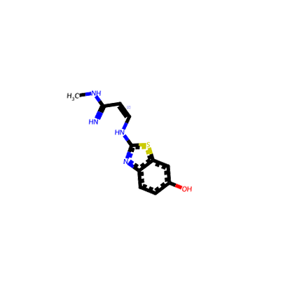 CNC(=N)/C=C\Nc1nc2ccc(O)cc2s1